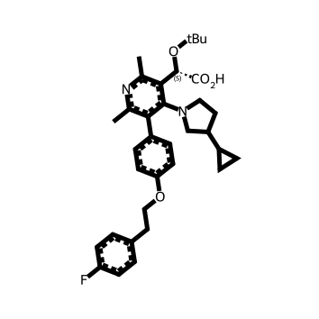 Cc1nc(C)c([C@H](OC(C)(C)C)C(=O)O)c(N2CCC(C3CC3)C2)c1-c1ccc(OCCc2ccc(F)cc2)cc1